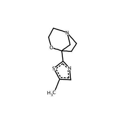 Cc1cnc(C23CCN(CCO2)C3)s1